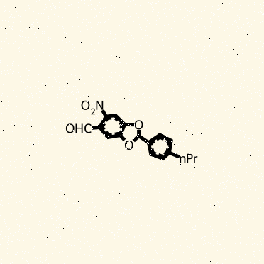 CCCc1ccc(C2Oc3cc(C=O)c([N+](=O)[O-])cc3O2)cc1